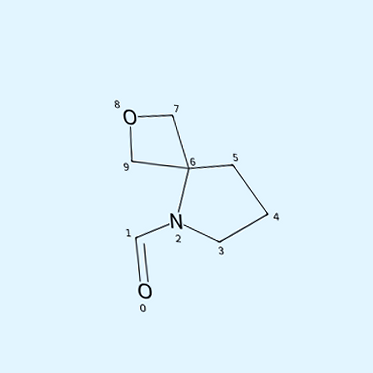 O=CN1CCCC12COC2